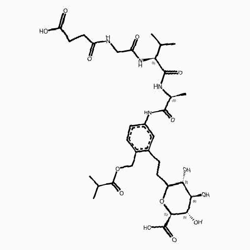 CC(C)C(=O)OCc1ccc(NC(=O)[C@H](C)NC(=O)[C@@H](NC(=O)CNC(=O)CCC(=O)O)C(C)C)cc1CCC1O[C@H](C(=O)O)[C@@H](O)[C@H](O)[C@H]1O